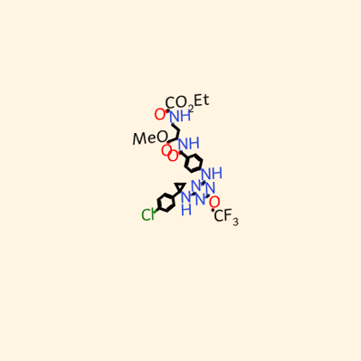 CCOC(=O)C(=O)NCCC(NC(=O)c1ccc(Nc2nc(NC3(c4ccc(Cl)cc4)CC3)nc(OCC(F)(F)F)n2)cc1)C(=O)OC